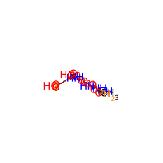 CCN[C@@H](CCCCNC(=O)CCC(=O)NCCCOCCOCCOCCCNC(=O)CC[C@H](NC(=O)CCCCCCCCCCCCCCCS(=O)(=O)O)C(=O)O)C(=O)P